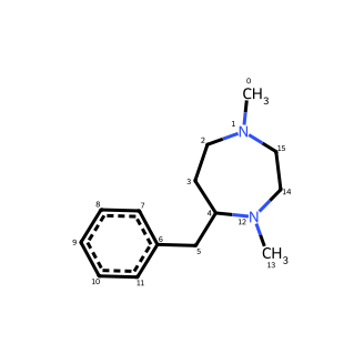 CN1CCC(Cc2ccccc2)N(C)CC1